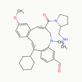 CNCC1CCCN1C(=O)/C1=C/c2cc(OC)ccc2/C=C(\C2CCCCC2)c2ccc(C=O)cc2N(C)C1